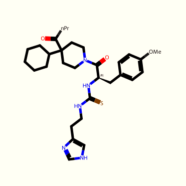 CCCC(=O)C1(C2CCCCC2)CCN(C(=O)[C@@H](Cc2ccc(OC)cc2)NC(=S)NCCc2c[nH]cn2)CC1